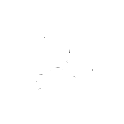 CCOP(=O)(CN(c1cccnc1)c1cc(C)c(O)c(OC)c1)OCC